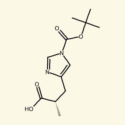 C[C@@H](Cc1cn(C(=O)OC(C)(C)C)cn1)C(=O)O